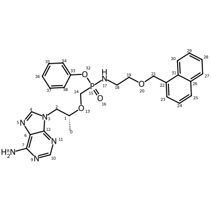 C[C@H](Cn1cnc2c(N)ncnc21)OCP(=O)(NCCOCc1cccc2ccccc12)Oc1ccccc1